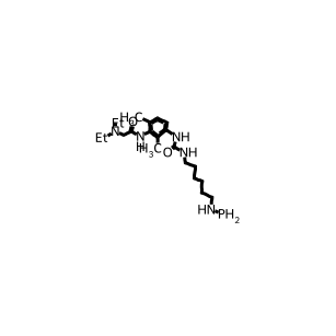 CCN(CC)CC(=O)Nc1c(C)ccc(NC(=O)NCCCCCCNP)c1C